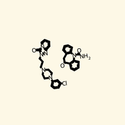 NC(=O)N1c2ccccc2CC(=O)c2ccccc21.O=c1n(CCCN2CCN(c3cccc(Cl)c3)CC2)nc2ccccn12